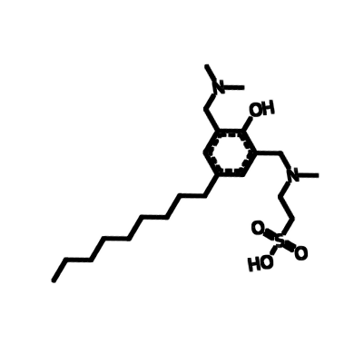 CCCCCCCCCc1cc(CN(C)C)c(O)c(CN(C)CCS(=O)(=O)O)c1